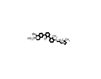 Cc1c(OCCCN2CCC2(C)C)cccc1-c1cccc(-c2ccc3c(c2)CCN(C(=O)O)C3C(C)(C)C)c1Cl